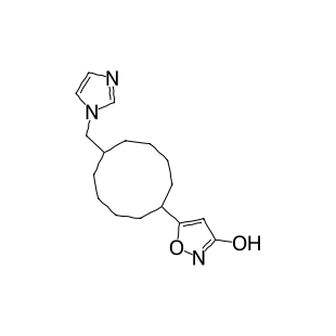 Oc1cc(C2CCCCC(Cn3ccnc3)CCCC2)on1